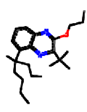 CCCCC(C)(CCC)c1cccc2nc(OCCC)c(C(C)(C)C)nc12